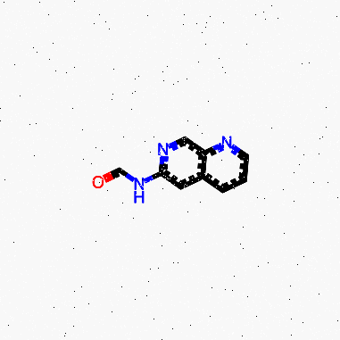 O=CNc1cc2cccnc2cn1